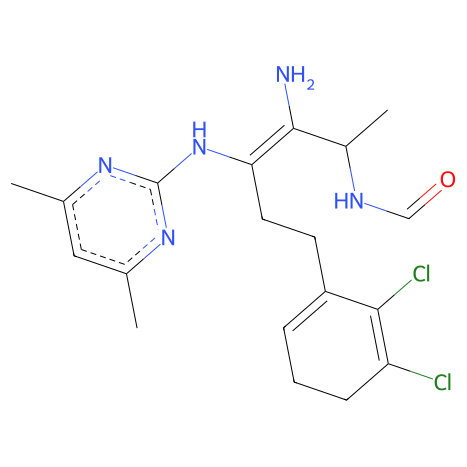 Cc1cc(C)nc(N/C(CCC2=CCCC(Cl)=C2Cl)=C(\N)C(C)NC=O)n1